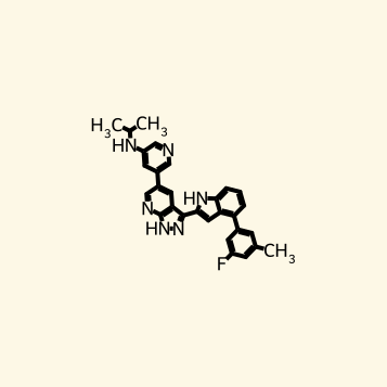 Cc1cc(F)cc(-c2cccc3[nH]c(-c4n[nH]c5ncc(-c6cncc(NC(C)C)c6)cc45)cc23)c1